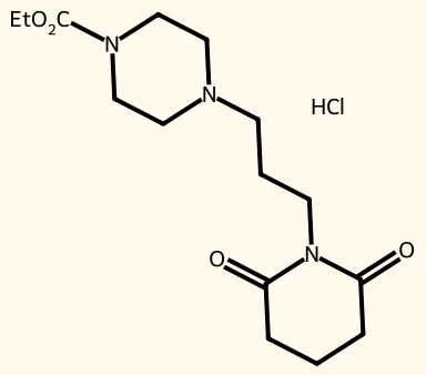 CCOC(=O)N1CCN(CCCN2C(=O)CCCC2=O)CC1.Cl